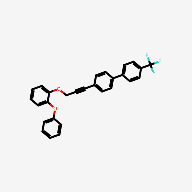 FC(F)(F)c1ccc(-c2ccc(C#CCOc3ccccc3Oc3c[c]ccc3)cc2)cc1